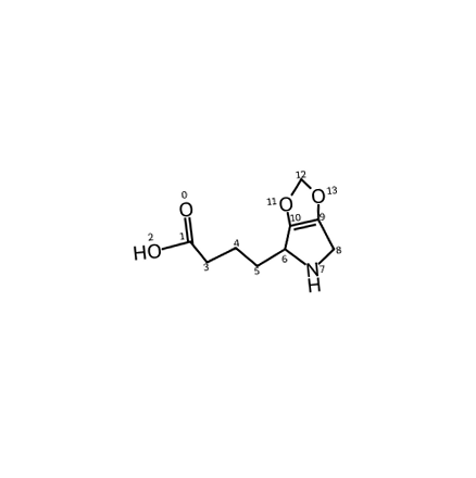 O=C(O)CCCC1NCC2=C1OCO2